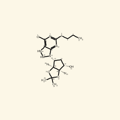 CCCSc1nc(Cl)c2c(n1)N([C@@H]1C[C@H](O)[C@H]3OC(C)(C)O[C@H]31)NN2